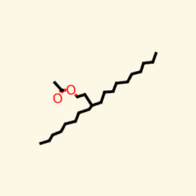 CCCCCCCCCCC(CCCCCCCC)CCOC(C)=O